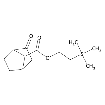 CS(C)(C)CCOC(=O)C1C2CCC1C(=O)C2